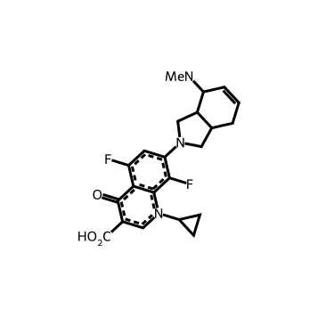 CNC1C=CCC2CN(c3cc(F)c4c(=O)c(C(=O)O)cn(C5CC5)c4c3F)CC21